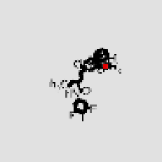 CCC/C(=C\C=C(\Cl)CS(=O)(=O)[C@H]1CC2CC(C1)[C@]2(O)c1ccncc1C)C(=O)Nc1cc(F)c(F)c(F)c1